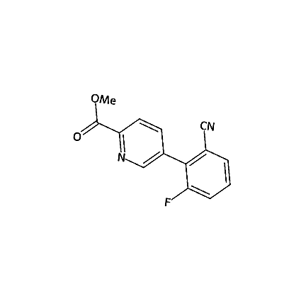 COC(=O)c1ccc(-c2c(F)cccc2C#N)cn1